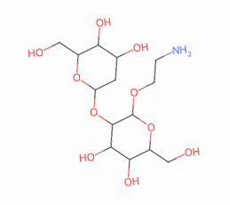 NCCOC1OC(CO)C(O)C(O)C1OC1CC(O)C(O)C(CO)O1